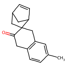 Cc1ccc2c(c1)CC1(CC3C=CC1C3)C(=O)C2